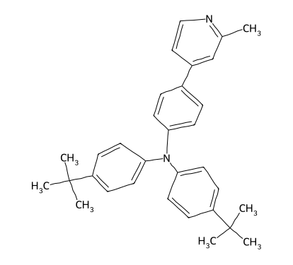 Cc1cc(-c2ccc(N(c3ccc(C(C)(C)C)cc3)c3ccc(C(C)(C)C)cc3)cc2)ccn1